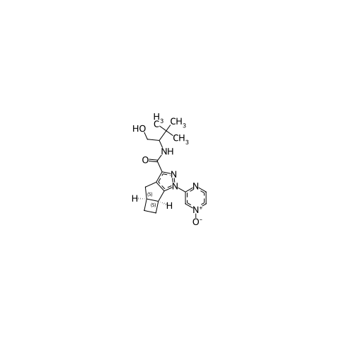 CC(C)(C)C(CO)NC(=O)c1nn(-c2c[n+]([O-])ccn2)c2c1C[C@@H]1CC[C@H]21